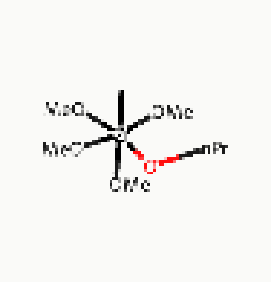 CCC[O][Zr]([CH3])([O]C)([O]C)([O]C)[O]C